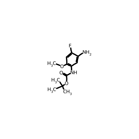 COc1cc(F)c(N)cc1NC(=O)OC(C)(C)C